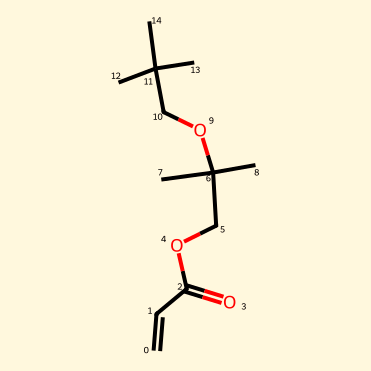 C=CC(=O)OCC(C)(C)OCC(C)(C)C